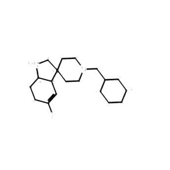 FC1=CC2C(CC1)NCC21CCN(CC2CCCCC2)CC1